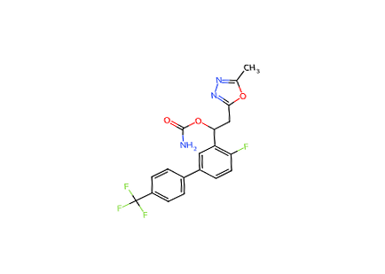 Cc1nnc(CC(OC(N)=O)c2cc(-c3ccc(C(F)(F)F)cc3)ccc2F)o1